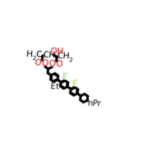 C=C(C)C(=O)OCC(COC(=O)C(=C)CO)Cc1ccc(-c2ccc(-c3ccc(C4CCC(CCC)CC4)cc3F)cc2F)c(CC)c1